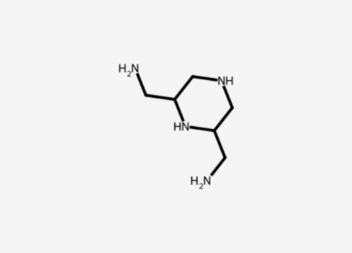 NCC1CNCC(CN)N1